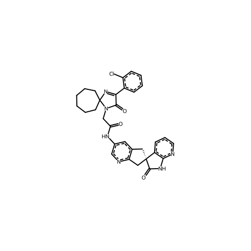 O=C(CN1C(=O)C(c2ccccc2Cl)=NC12CCCCCC2)Nc1cnc2c(c1)C[C@@]1(C2)C(=O)Nc2ncccc21